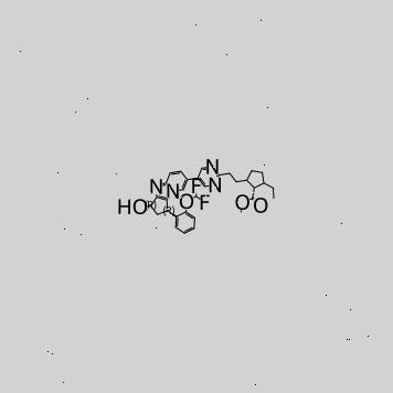 CCC1CCC(CCc2ncc(-c3ccc4nc5c(n4c3)[C@@H](c3ccccc3OC(F)F)C[C@H]5O)cn2)C1C(=O)OC